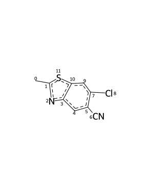 Cc1nc2cc(C#N)c(Cl)cc2s1